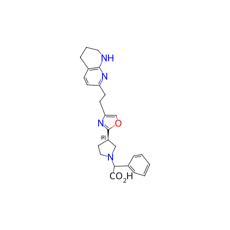 O=C(O)C(c1ccccc1)N1CC[C@@H](c2nc(CCc3ccc4c(n3)NCCC4)co2)C1